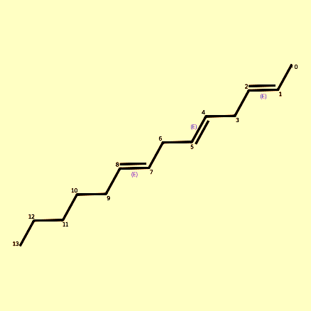 [CH2]/C=C/C/C=C/C/C=C/CCCCC